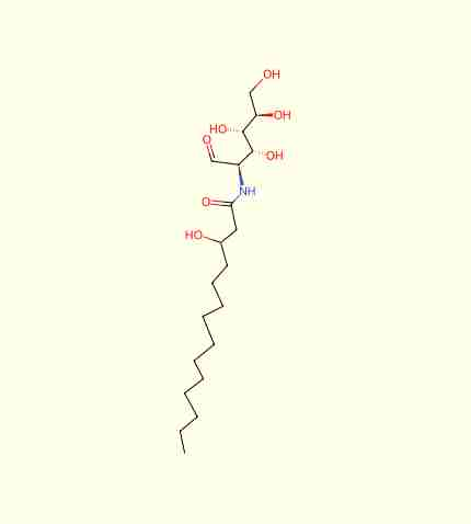 CCCCCCCCCCCC(O)CC(=O)N[C@@H](C=O)[C@@H](O)[C@H](O)[C@H](O)CO